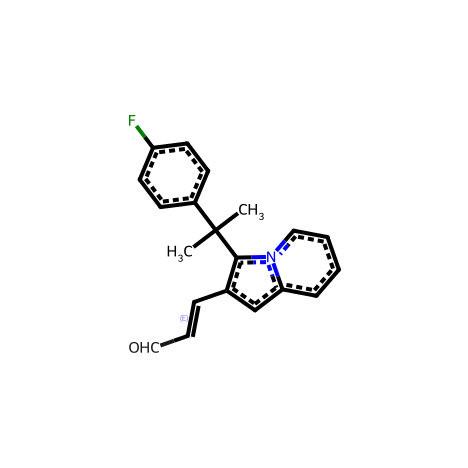 CC(C)(c1ccc(F)cc1)c1c(/C=C/C=O)cc2ccccn12